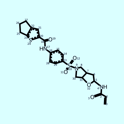 C=CC(=O)NC1CC2CN(S(=O)(=O)c3ccc(NC(=O)c4cc5c(s4)CCC5)cc3)CC2O1